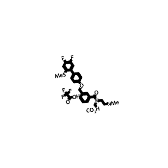 CNCCN(CC(=O)O)C(=O)c1cccc(COc2ccc(-c3cc(F)c(F)cc3SC)cc2)c1.O=C(O)C(F)(F)F